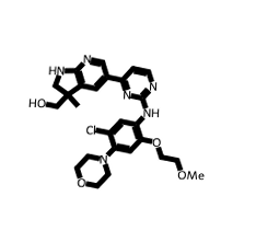 COCCOc1cc(N2CCOCC2)c(Cl)cc1Nc1nccc(-c2cnc3c(c2)C(C)(CO)CN3)n1